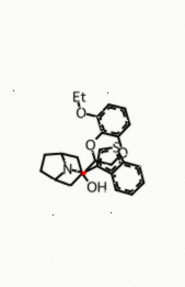 CCOc1cccc2c1OC(CN1C3CCC1CC(O)(c1csc4ccccc14)C3)CO2